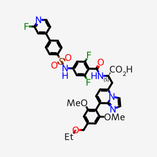 CCOCc1cc(OC)c(-c2ccc(C[C@H](NC(=O)c3c(F)cc(NS(=O)(=O)c4ccc(-c5ccnc(F)c5)cc4)cc3F)C(=O)O)n3ccnc23)c(OC)c1